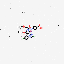 COCCC(C(=O)Nc1ccc(C(=O)O)cc1)n1cc(OC)c(-c2cc(Cl)ccc2-n2cnc(Cl)c2)cc1=O